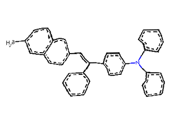 Bc1ccc2cc(/C=C(\c3ccccc3)c3ccc(N(c4ccccc4)c4ccccc4)cc3)ccc2c1